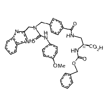 COc1ccc(NC(=S)N(Cc2ccc(C(=O)NC[C@H](NC(=O)OCc3ccccc3)C(=O)O)cc2)Cc2nc3ccccc3[nH]2)cc1